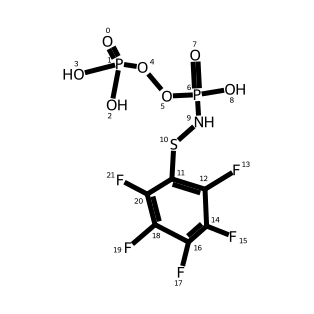 O=P(O)(O)OOP(=O)(O)NSc1c(F)c(F)c(F)c(F)c1F